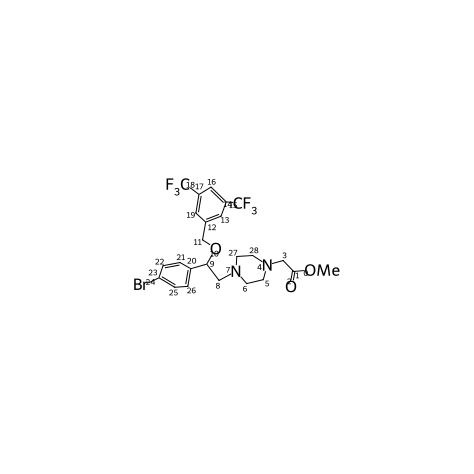 COC(=O)CN1CCN(CC(OCc2cc(C(F)(F)F)cc(C(F)(F)F)c2)c2ccc(Br)cc2)CC1